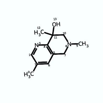 Cc1cnc2c(c1)CN(C)CC2(C)O